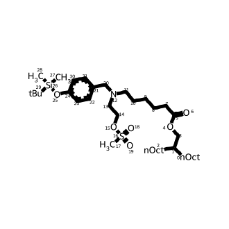 CCCCCCCCC(CCCCCCCC)COC(=O)CCCCCN(CCOS(C)(=O)=O)Cc1ccc(O[Si](C)(C)C(C)(C)C)cc1